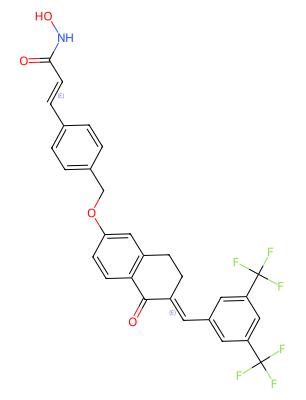 O=C(/C=C/c1ccc(COc2ccc3c(c2)CC/C(=C\c2cc(C(F)(F)F)cc(C(F)(F)F)c2)C3=O)cc1)NO